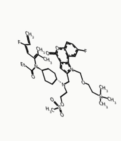 C=C/C(F)=C\C(=C(C)C)N(C(=O)CC)[C@H]1CC[C@H](N(CCOS(C)(=O)=O)Cc2cc3c(=O)oc4ccc(F)cc4c3n2COCC[Si](C)(C)C)CC1